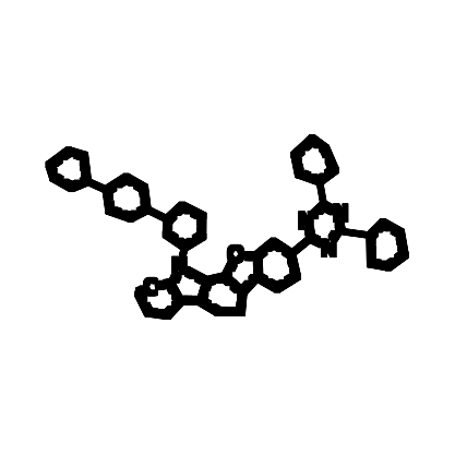 c1ccc(-c2ccc(-c3cccc(-n4c5ccccc5c5ccc6c7ccc(-c8nc(-c9ccccc9)nc(-c9ccccc9)n8)cc7oc6c54)c3)cc2)cc1